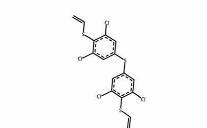 C=CSc1c(Cl)cc(Sc2cc(Cl)c(SC=C)c(Cl)c2)cc1Cl